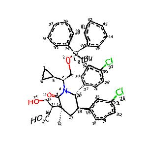 CC(C)(C)[Si](OC[C@H](C1CC1)N1C(=O)[C@](C)(C(CO)C(=O)O)C[C@H](c2cccc(Cl)c2)[C@H]1c1ccc(Cl)cc1)(c1ccccc1)c1ccccc1